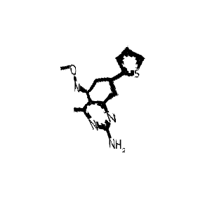 CO/N=C1\CC(c2cccs2)Cc2nc(N)nc(C)c21